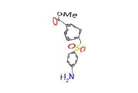 COC(=O)c1ccc(CS(=O)(=O)c2ccc(N)cc2)cc1